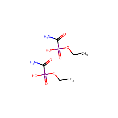 CCOP(=O)(O)C(N)=O.CCOP(=O)(O)C(N)=O